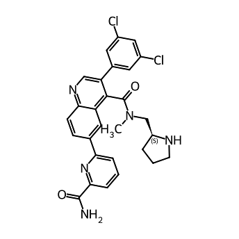 CN(C[C@@H]1CCCN1)C(=O)c1c(-c2cc(Cl)cc(Cl)c2)cnc2ccc(-c3cccc(C(N)=O)n3)cc12